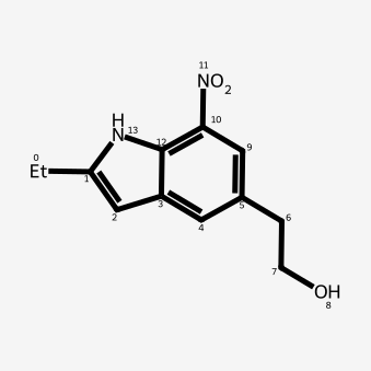 CCc1cc2cc(CCO)cc([N+](=O)[O-])c2[nH]1